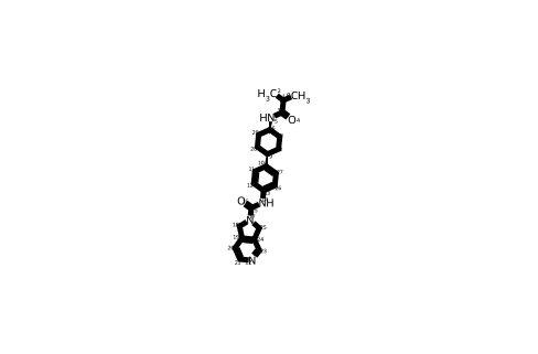 CC(C)C(=O)N[C@H]1CC[C@@H](c2ccc(NC(=O)N3Cc4ccncc4C3)cc2)CC1